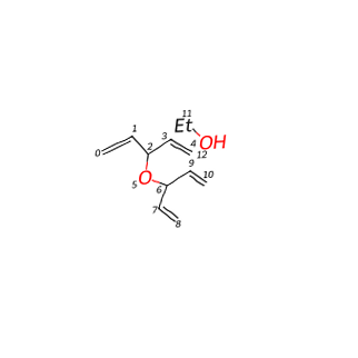 C=CC(C=C)OC(C=C)C=C.CCO